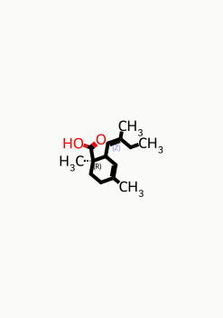 CC/C(C)=C\C1C=C(C)CC[C@@]1(C)C(=O)O